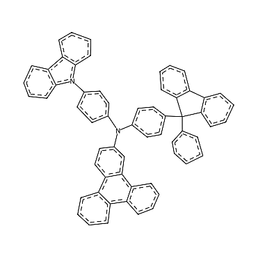 c1ccc(C2(c3ccc(N(c4ccc(-n5c6ccccc6c6ccccc65)cc4)c4ccc5c6ccccc6c6ccccc6c5c4)cc3)c3ccccc3-c3ccccc32)cc1